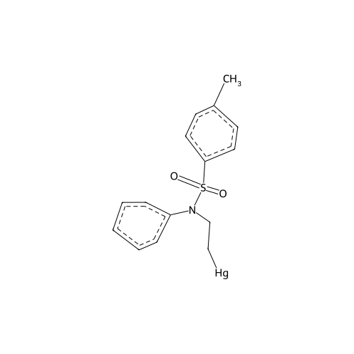 Cc1ccc(S(=O)(=O)N(C[CH2][Hg])c2ccccc2)cc1